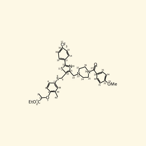 CCOC(=O)C(C)Oc1ccc(SCc2sc(-c3ccc(C(F)(F)F)cc3)nc2CN2CCN(C(=O)c3ccc(OC)cc3)CC2)cc1C